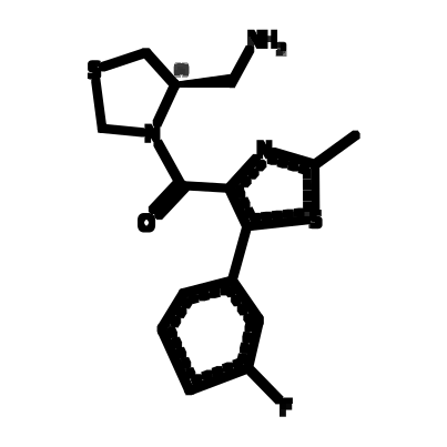 Cc1nc(C(=O)N2CSC[C@H]2CN)c(-c2cccc(F)c2)s1